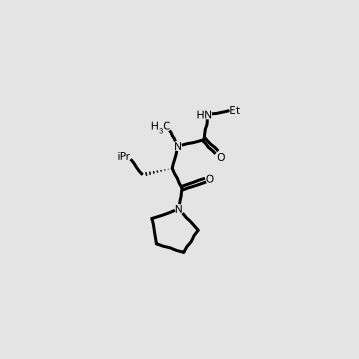 CCNC(=O)N(C)[C@@H](CC(C)C)C(=O)N1CCCC1